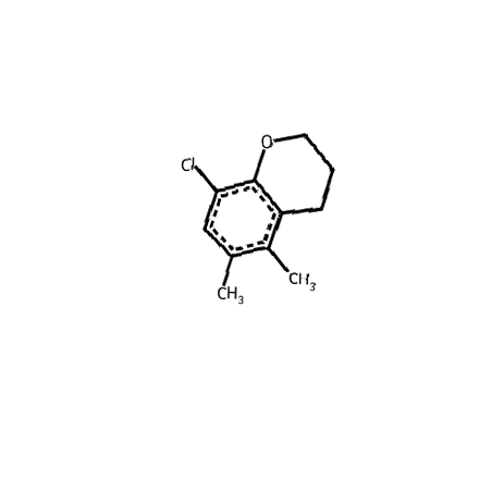 Cc1cc(Cl)c2c(c1C)CCCO2